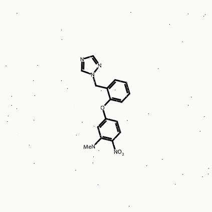 CNc1cc(Oc2ccccc2Cn2cncn2)ccc1[N+](=O)[O-]